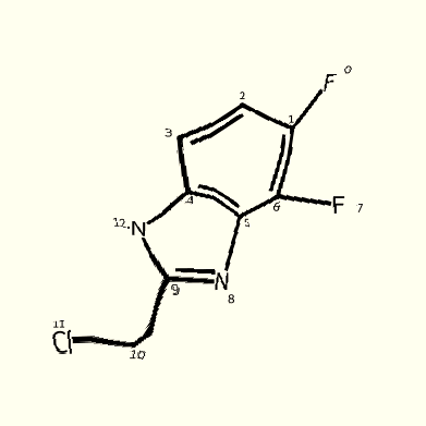 Fc1ccc2c(c1F)N=C(CCl)[N]2